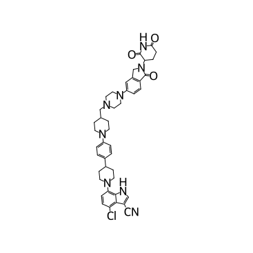 N#Cc1c[nH]c2c(N3CCC(c4ccc(N5CCC(CN6CCN(c7ccc8c(c7)CN(C7CCC(=O)NC7=O)C8=O)CC6)CC5)cc4)CC3)ccc(Cl)c12